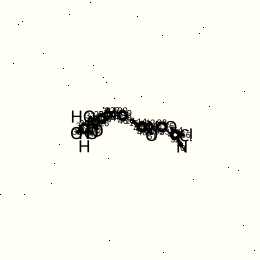 N#Cc1ccc(O[C@H]2CC[C@H](N3Cc4cc(C#C[C@H]5CC[C@H](CN6Cc7cc8c(cc7C6)C(O)N(C6CCC(=O)NC6=O)C8=O)CC5)ccc4C3=O)CC2)cc1Cl